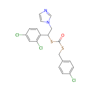 O=C(SCc1ccc(Cl)cc1)SC(Cn1ccnc1)c1ccc(Cl)cc1Cl